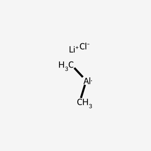 [CH3][Al][CH3].[Cl-].[Li+]